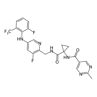 Cc1ncc(C(=O)NC2(C(=O)NCc3ncc(Nc4c(F)cccc4C(F)(F)F)cc3F)CC2)cn1